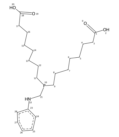 O=C(O)CCCCCCCP(CCCCCCCC(=O)O)CNc1ccccc1